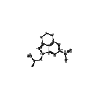 CC(O)Cn1nc2c3c(cc([N+](=O)[O-])cc31)CCC2